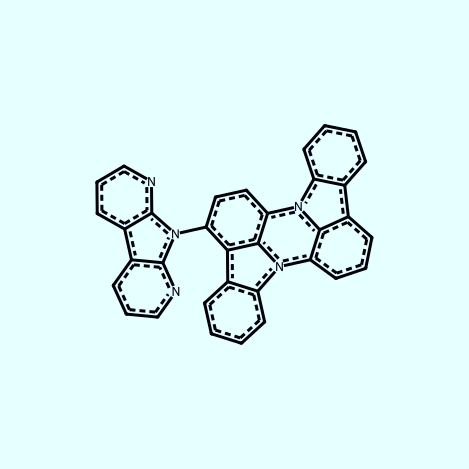 c1cnc2c(c1)c1cccnc1n2-c1ccc2c3c1c1ccccc1n3c1cccc3c4ccccc4n2c31